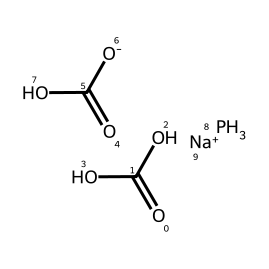 O=C(O)O.O=C([O-])O.P.[Na+]